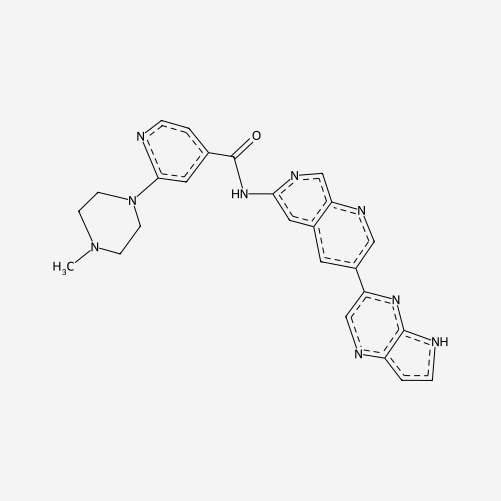 CN1CCN(c2cc(C(=O)Nc3cc4cc(-c5cnc6cc[nH]c6n5)cnc4cn3)ccn2)CC1